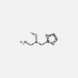 COC(CN)Cc1ncc[nH]1